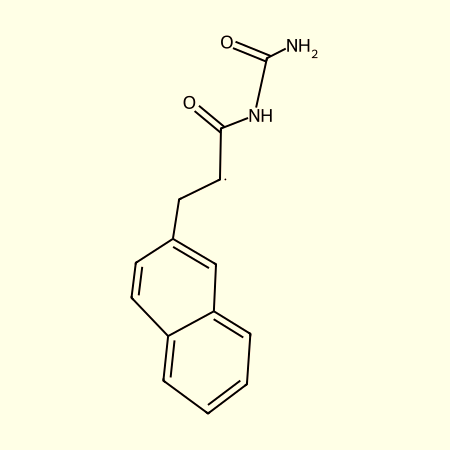 NC(=O)NC(=O)[CH]Cc1ccc2ccccc2c1